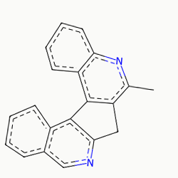 Cc1nc2ccccc2c2c1Cc1ncc3ccccc3c1-2